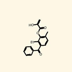 C=C(O)C(=O)Oc1c(C)ccc(C(=O)c2ccccc2)c1CC